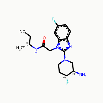 C[C@H](CC#N)NC(=O)Cn1c(N2CC[C@@H](F)[C@H](N)C2)nc2ccc(F)cc21